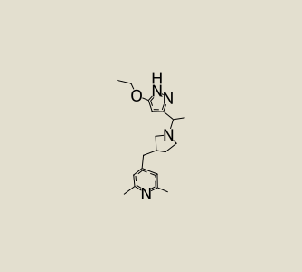 CCOc1cc(C(C)N2CCC(Cc3cc(C)nc(C)c3)C2)n[nH]1